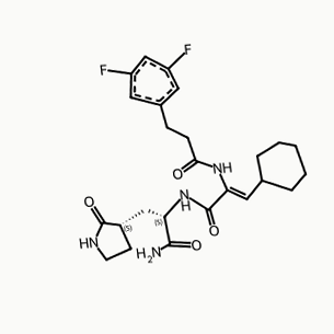 NC(=O)[C@H](C[C@@H]1CCNC1=O)NC(=O)C(=CC1CCCCC1)NC(=O)CCc1cc(F)cc(F)c1